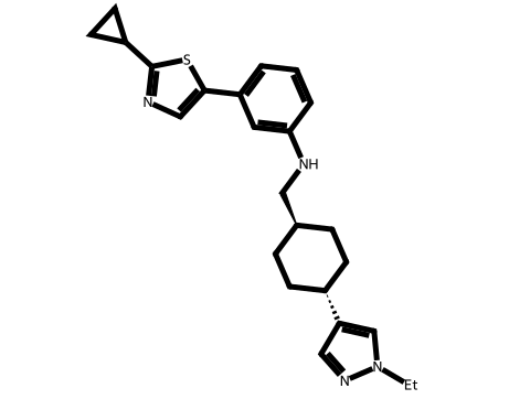 CCn1cc([C@H]2CC[C@H](CNc3cccc(-c4cnc(C5CC5)s4)c3)CC2)cn1